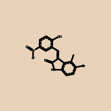 Cc1c(Br)ccc2c1C(=Cc1cc([N+](=O)[O-])ccc1O)C(=O)N2